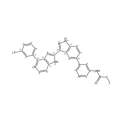 CCC(=O)Nc1cncc(-c2ccc3[nH]nc(-c4cc5c(-c6cccc(F)c6)nccc5[nH]4)c3c2)c1